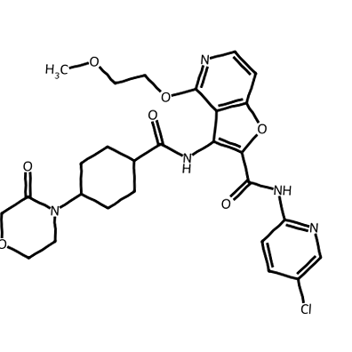 COCCOc1nccc2oc(C(=O)Nc3ccc(Cl)cn3)c(NC(=O)C3CCC(N4CCOCC4=O)CC3)c12